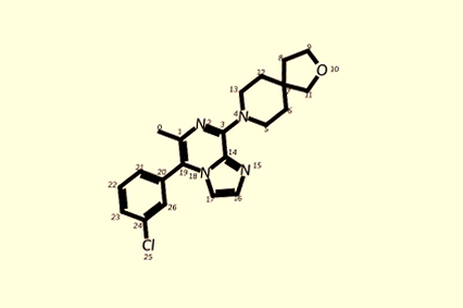 Cc1nc(N2CCC3(CCOC3)CC2)c2nccn2c1-c1cccc(Cl)c1